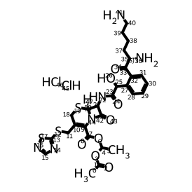 CC(=O)OC(C)OC(=O)C1=C(CSc2ncns2)CS[C@H]2C(NC(=O)C(O)c3ccccc3C(=O)[C@@H](N)CCCCN)C(=O)N12.Cl.Cl